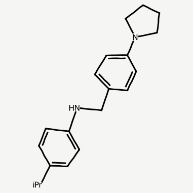 CC(C)c1ccc(NCc2ccc(N3CCCC3)cc2)cc1